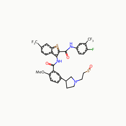 COc1ccc(C2CCN(CC[S+]=O)C2)cc1C(=O)Nc1c(C(=O)Nc2ccc(F)c(C(F)(F)F)c2)sc2cc(C(F)(F)F)ccc12